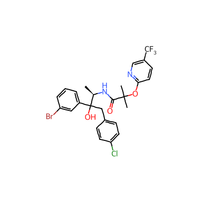 C[C@@H](NC(=O)C(C)(C)Oc1ccc(C(F)(F)F)cn1)C(O)(Cc1ccc(Cl)cc1)c1cccc(Br)c1